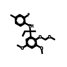 CCC(C)(Pc1ccc(C)cc1F)c1cc(OC)cc(OC)c1OCOC